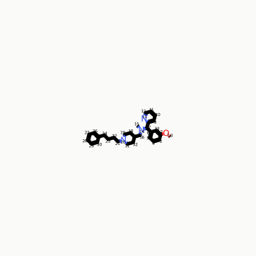 COc1cccc(C(c2ccccn2)N(C)CC2CCN(CCCCc3ccccc3)CC2)c1